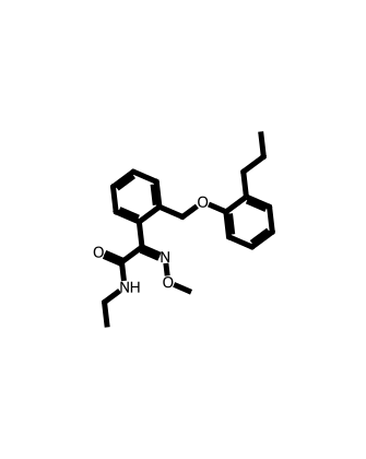 CCCc1ccccc1OCc1ccccc1C(=NOC)C(=O)NCC